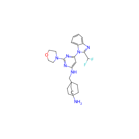 NC12CCC(CNc3cc(-n4c(C(F)F)nc5ccccc54)nc(N4CCOCC4)n3)(CC1)CC2